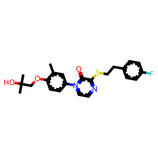 Cc1cc(-n2ccnc(SCCc3ccc(F)cc3)c2=O)ccc1OCC(C)(C)O